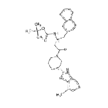 Cc1cccc2[nH]c([C@@H]3CCCN(C(=O)C[C@@H](Cc4ccc5ccccc5c4)NC(=O)OC(C)(C)C)C3)nc12